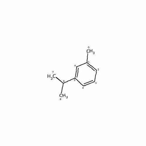 Cc1cc[c]c(C(C)C)c1